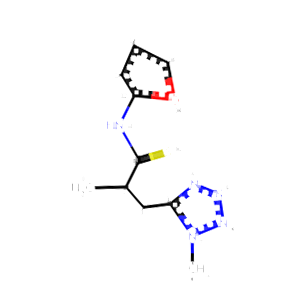 CC(Cc1nnnn1C)C(=S)Nc1ccco1